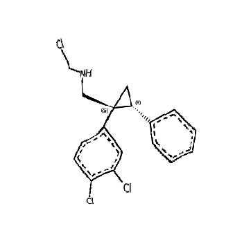 ClCNC[C@@]1(c2ccc(Cl)c(Cl)c2)C[C@@H]1c1ccccc1